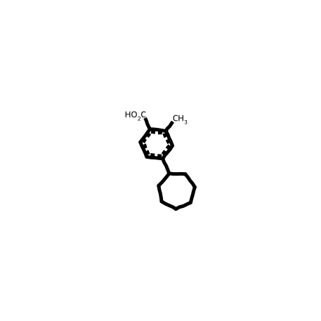 Cc1cc(C2CCCCCC2)ccc1C(=O)O